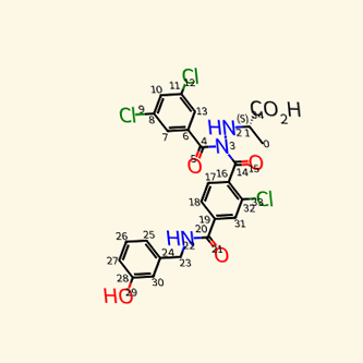 C[C@H](NN(C(=O)c1cc(Cl)cc(Cl)c1)C(=O)c1ccc(C(=O)NCc2cccc(O)c2)cc1Cl)C(=O)O